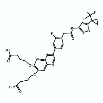 O=C(O)CCCOc1cc2ncc(-c3ccc(CC(=O)Nc4cc(C5(C(F)(F)F)CC5)on4)c(F)c3)nc2cc1OCCCC(=O)O